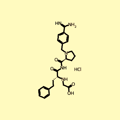 Cl.N=C(N)c1ccc(CN2CCC[C@H]2C(=O)NC(=O)[C@@H](CCc2ccccc2)NCC(=O)O)cc1